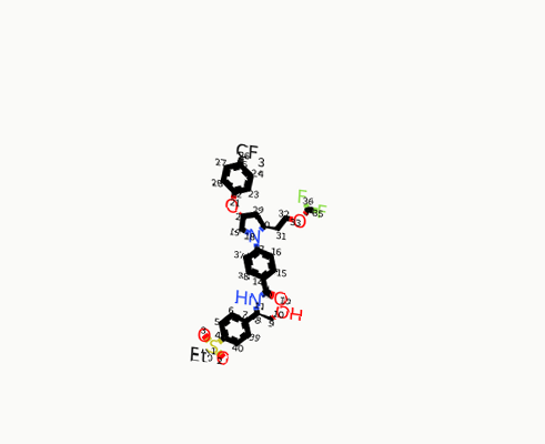 CCS(=O)(=O)c1ccc([C@H](CO)NC(=O)c2ccc(N3C[C@H](Oc4ccc(C(F)(F)F)cc4)C[C@H]3CCOC(F)F)cc2)cc1